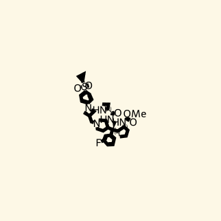 COC(=O)N[C@H]1CCC[C@@H]1[C@](CNC(=O)[C@H]1CCN1)(c1cccc(F)c1)C1CCN(CC2CN(c3ccc(S(=O)(=O)C4CC4)cc3)C2)CC1